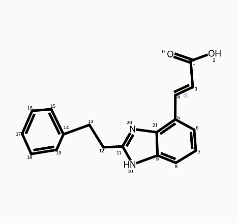 O=C(O)/C=C/c1cccc2[nH]c(CCc3ccccc3)nc12